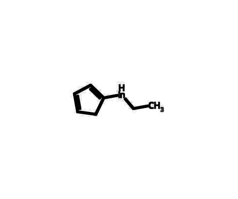 C[CH2][InH][C]1=CC=CC1